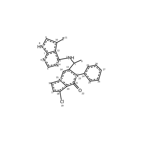 CC(Nc1ncnc2[nH]cc(F)c12)c1cn2ccc(Cl)c2c(=O)n1-c1ccccc1